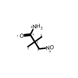 CC(C)(CN=O)C(N)=O